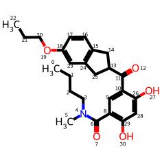 CCCCN(C)C(=O)c1cc(C(=O)C2Cc3ccc(OCCC)cc3C2)c(O)cc1O